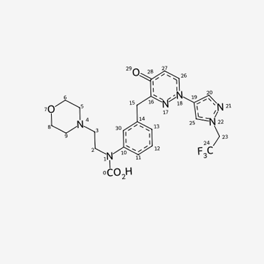 O=C(O)N(CCN1CCOCC1)c1cccc(Cc2nn(-c3cnn(CC(F)(F)F)c3)ccc2=O)c1